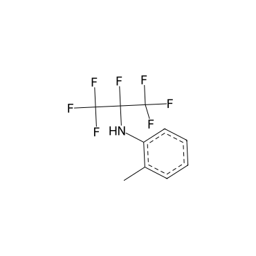 Cc1ccccc1NC(F)(C(F)(F)F)C(F)(F)F